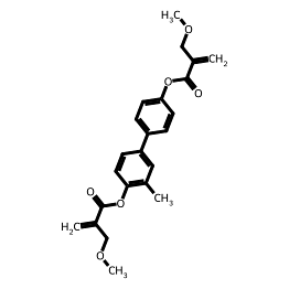 C=C(COC)C(=O)Oc1ccc(-c2ccc(OC(=O)C(=C)COC)c(C)c2)cc1